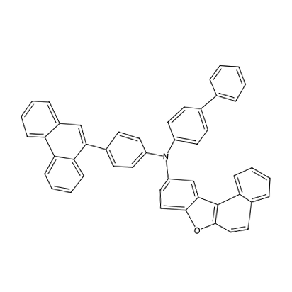 c1ccc(-c2ccc(N(c3ccc(-c4cc5ccccc5c5ccccc45)cc3)c3ccc4oc5ccc6ccccc6c5c4c3)cc2)cc1